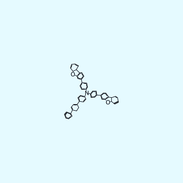 C1=C=C(N(c2ccc(-c3ccc4c(c3)OC3C#CC=CC43)cc2)c2ccc(-c3ccc4c(c3)OC3C=CC=CC43)cc2)C=CC=1C1=CC=C(c2c#cccc2)CC1